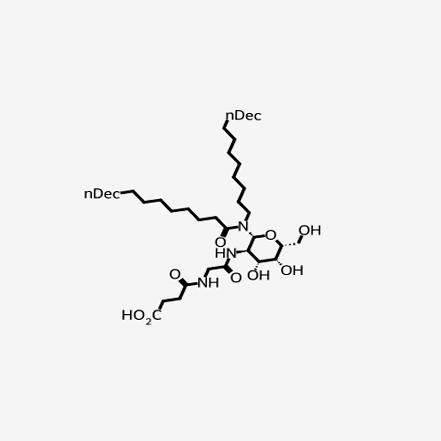 CCCCCCCCCCCCCCCCCCN(C(=O)CCCCCCCCCCCCCCCCC)[C@@H]1O[C@H](CO)[C@H](O)[C@H](O)[C@H]1NC(=O)CNC(=O)CCC(=O)O